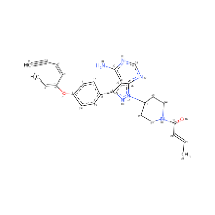 C#C/C=C\C(=C/C)Oc1ccc(-c2nn(C3CCN(C(=O)/C=C/C)CC3)c3ncnc(N)c23)cc1